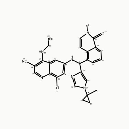 Cn1ccc2c(C(Nc3cc(Cl)c4ncc(C#N)c(NCC(C)(C)C)c4c3)c3cn(C4(C)CC4)nn3)cccc2c1=O